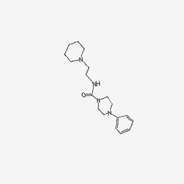 O=C(NCCN1CCCCC1)N1CCN(c2ccccc2)CC1